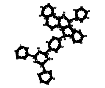 c1ccc(-c2nc(-c3ccccc3)nc(-c3ccc(-n4c5ccccc5c5c(-c6ccccc6)nc6c7ccccc7ccc6c54)cc3)n2)cc1